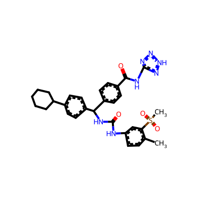 Cc1ccc(NC(=O)NC(c2ccc(C(=O)Nc3nn[nH]n3)cc2)c2ccc(C3CCCCC3)cc2)cc1S(C)(=O)=O